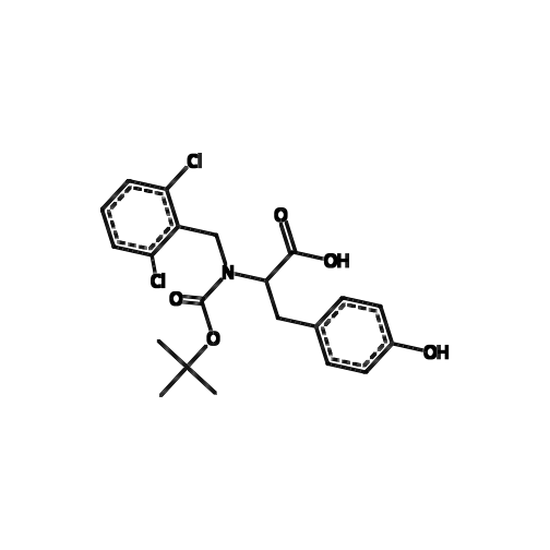 CC(C)(C)OC(=O)N(Cc1c(Cl)cccc1Cl)C(Cc1ccc(O)cc1)C(=O)O